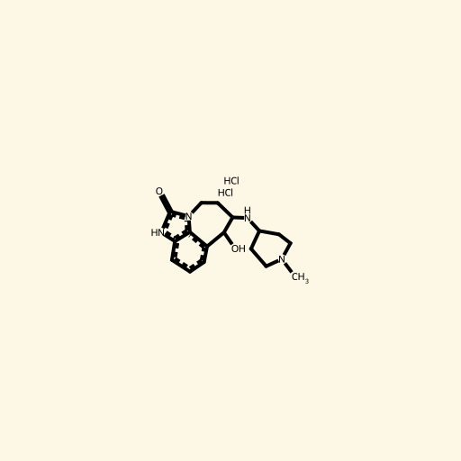 CN1CCC(NC2CCn3c(=O)[nH]c4cccc(c43)C2O)CC1.Cl.Cl